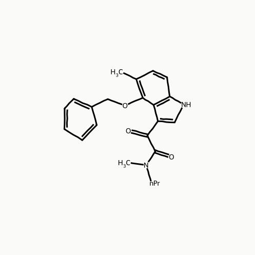 CCCN(C)C(=O)C(=O)c1c[nH]c2ccc(C)c(OCc3ccccc3)c12